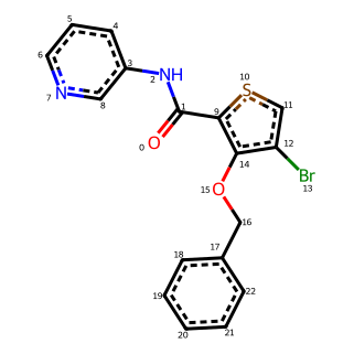 O=C(Nc1cccnc1)c1scc(Br)c1OCc1ccccc1